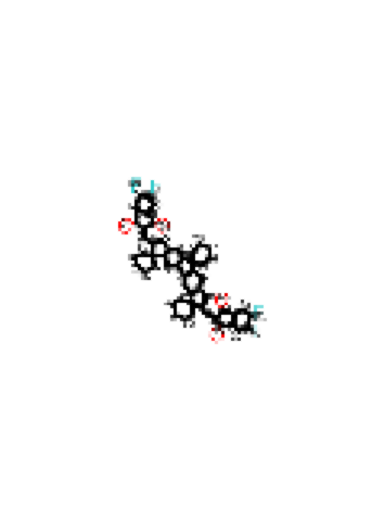 O=C1C(=CC2=Cc3cc4c(cc3C23CCCCC3)-c2cc3c(cc2C42CCCCC2)C=C(C=C2C(=O)c4cc(F)c(F)cc4C2=O)C32CCCCC2)C(=O)c2cc(F)c(F)cc21